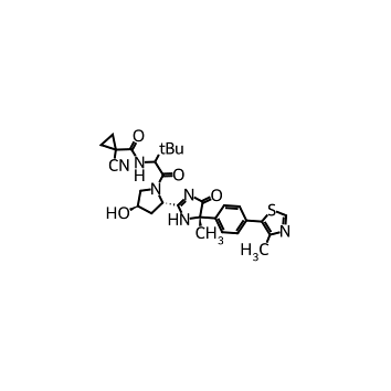 Cc1ncsc1-c1ccc([C@]2(C)NC([C@@H]3C[C@@H](O)CN3C(=O)C(NC(=O)C3(C#N)CC3)C(C)(C)C)=NC2=O)cc1